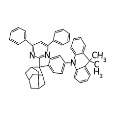 CC1(C)c2ccccc2N(c2ccc(C3(c4nc(-c5ccccc5)cc(-c5ccccc5)n4)C4CC5CC(C4)CC3C5)cc2)c2ccccc21